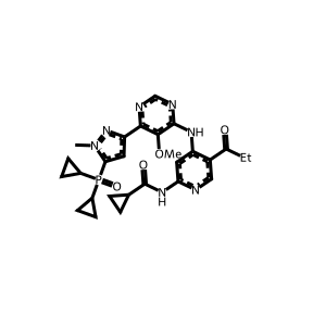 CCC(=O)c1cnc(NC(=O)C2CC2)cc1Nc1ncnc(-c2cc(P(=O)(C3CC3)C3CC3)n(C)n2)c1OC